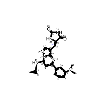 CN(C)c1cccc(-c2cc(NC3CC3)n3ncc(/C=C4\NC(=O)NC4=O)c3n2)c1